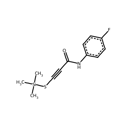 C[Si](C)(C)SC#CC(=O)Nc1ccc(F)cc1